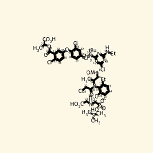 CCNc1nc(Cl)nc(NC(C)(C)C)n1.CCc1cccc(C)c1N(C(=O)CCl)C(C)COC.C[C@H](OC(=O)c1cc(Oc2ccc(C(F)(F)F)cc2Cl)ccc1Cl)C(=O)O.C[S+](C)C.O=C(O)CNCP(=O)([O-])O